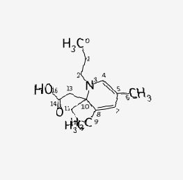 CCCN1C=C(C)C=C(C)C1(CC)CC(=O)O